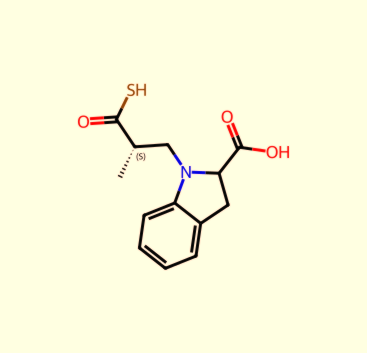 C[C@@H](CN1c2ccccc2CC1C(=O)O)C(=O)S